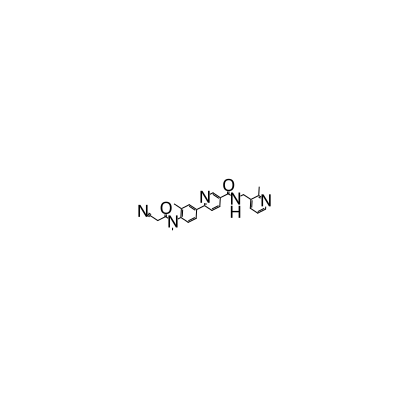 Cc1cc(-c2ccc(C(=O)NCc3cccnc3C)cn2)ccc1N(C)C(=O)CC#N